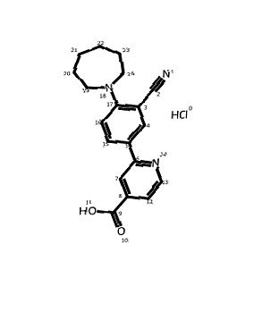 Cl.N#Cc1cc(-c2cc(C(=O)O)ccn2)ccc1N1CCCCCC1